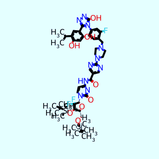 CC(C)c1cc(-c2nnc(O)n2-c2ccc(CN3CCN(c4ncc(C(=O)Nc5ccn([C@@H]6O[C@H](CO[Si](C)(C)C(C)(C)C)C(O[Si](C)(C)C(C)(C)C)C6(F)F)c(=O)n5)cn4)CC3)c(F)c2)c(O)cc1O